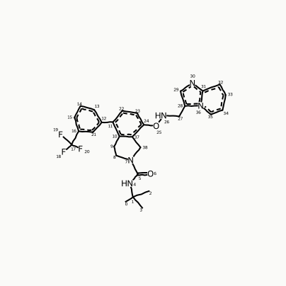 CC(C)(C)NC(=O)N1CCc2c(-c3cccc(C(F)(F)F)c3)ccc(ONCc3cnc4ccccn34)c2C1